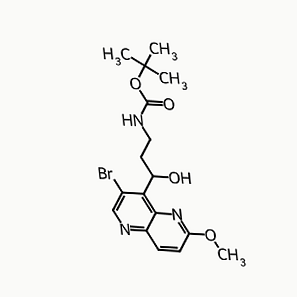 COc1ccc2ncc(Br)c(C(O)CCNC(=O)OC(C)(C)C)c2n1